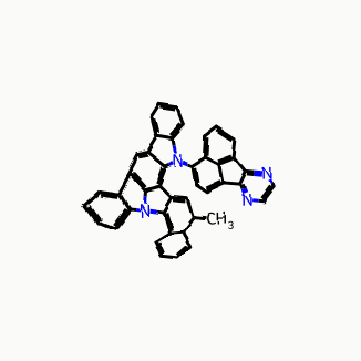 CC1C=c2c(n3c4ccccc4c4cc5c6ccccc6n(-c6ccc7c8c(cccc68)-c6nccnc6-7)c5c2c43)=C2C=CC=CC21